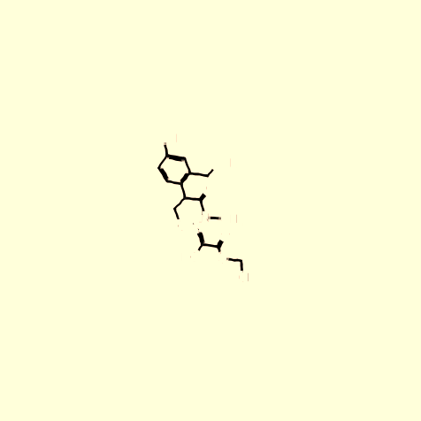 CCOC(=O)C(C)=NN(C)C(=O)C(CC)c1ccc(C)cc1CC